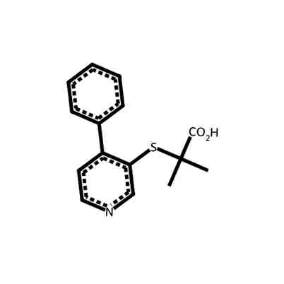 CC(C)(Sc1cnccc1-c1ccccc1)C(=O)O